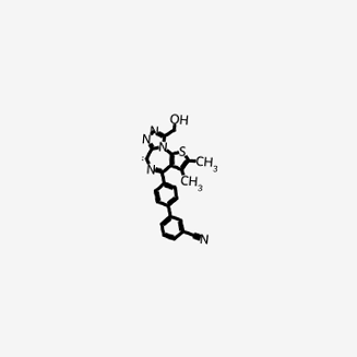 Cc1sc2c(c1C)C(c1ccc(-c3cccc(C#N)c3)cc1)=N[C]c1nnc(CO)n1-2